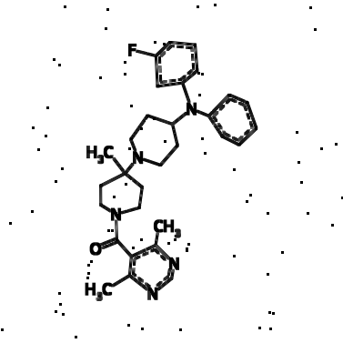 Cc1ncnc(C)c1C(=O)N1CCC(C)(N2CCC(N(c3ccccc3)c3cccc(F)c3)CC2)CC1